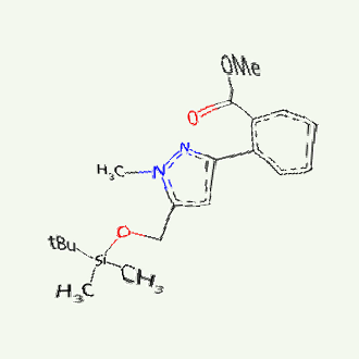 COC(=O)c1ccccc1-c1cc(CO[Si](C)(C)C(C)(C)C)n(C)n1